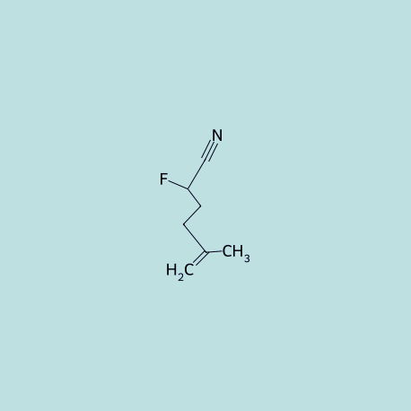 C=C(C)CCC(F)C#N